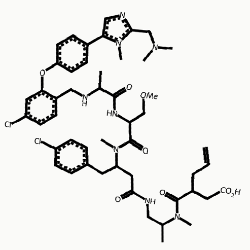 C=CCC(CC(=O)O)C(=O)N(C)C(C)CNC(=O)CC(Cc1ccc(Cl)cc1)N(C)C(=O)C(COC)NC(=O)C(C)NCc1ccc(Cl)cc1Oc1ccc(-c2cnc(CN(C)C)n2C)cc1